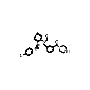 O=CN(Cc1cccc(C(=O)N2CCNCC2)c1)c1ccccc1[C@@H]1C[C@@H]1c1ccc(Cl)cc1